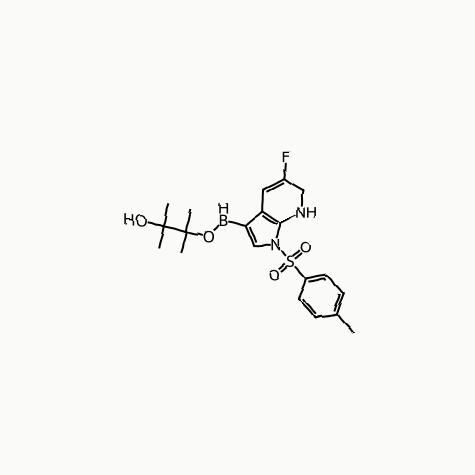 Cc1ccc(S(=O)(=O)n2cc(BOC(C)(C)C(C)(C)O)c3c2NCC(F)=C3)cc1